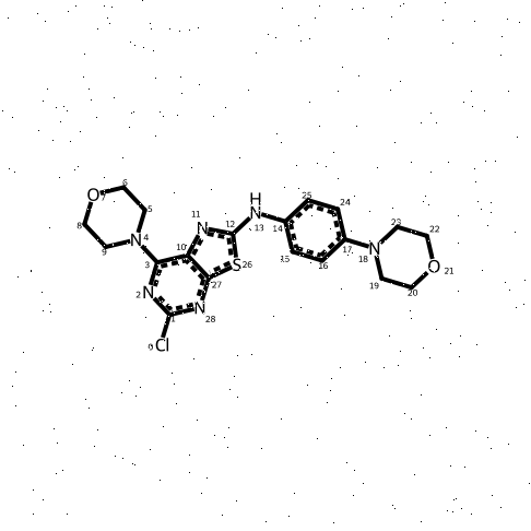 Clc1nc(N2CCOCC2)c2nc(Nc3ccc(N4CCOCC4)cc3)sc2n1